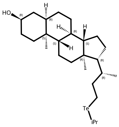 CC(C)[Te]CC[C@@H](C)[C@H]1CC[C@H]2[C@@H]3CC[C@@H]4C[C@H](O)CC[C@]4(C)[C@H]3CC[C@]12C